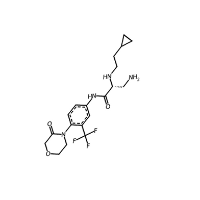 NC[C@@H](NCCC1CC1)C(=O)Nc1ccc(N2CCOCC2=O)c(C(F)(F)F)c1